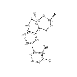 CC(C)N1CCN2c3cc(-c4cccc(Cl)c4O)nnc3NC[C@H]2C1